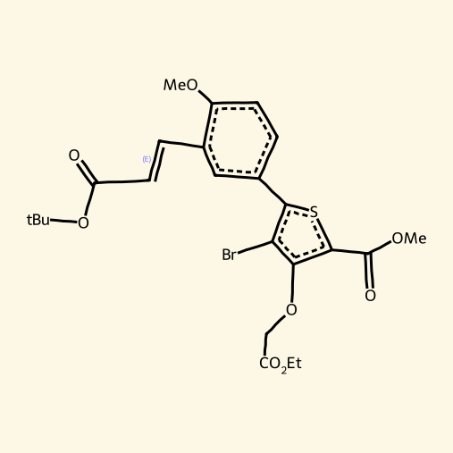 CCOC(=O)COc1c(C(=O)OC)sc(-c2ccc(OC)c(/C=C/C(=O)OC(C)(C)C)c2)c1Br